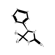 CCC1(CC)OC(=O)O[C@@H]1c1ccccc1